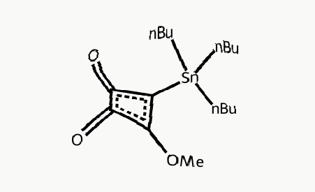 CCC[CH2][Sn]([CH2]CCC)([CH2]CCC)[c]1c(OC)c(=O)c1=O